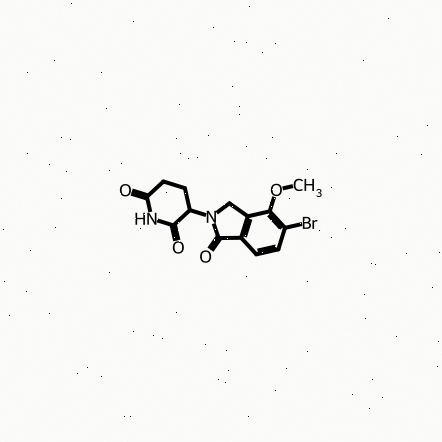 COc1c(Br)ccc2c1CN(C1CCC(=O)NC1=O)C2=O